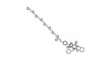 COCCOCCOCCOCCOCCOCCOCCOC(=O)/C=C/c1ccc(-c2nc3c(=O)n(CC4CCCCC4)c(=O)n(CC4CCCCC4)c3[nH]2)cc1